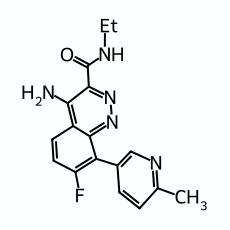 CCNC(=O)c1nnc2c(-c3ccc(C)nc3)c(F)ccc2c1N